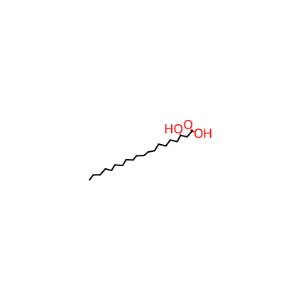 CCCCCCCCCCCCCCCCC[C@@H](O)CC(=O)O